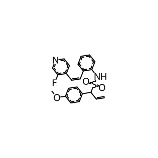 C=CC(c1ccc(OC)cc1)S(=O)(=O)Nc1ccccc1C=Cc1ccncc1F